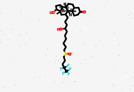 C[C@]12CCC(=O)CC1CC[C@@H]1[C@H]2C(CCCC(O)CCCCCC[S+]([O-])CCCC(F)(F)C(F)(F)F)C[C@]2(C)C(O)CC[C@@H]12